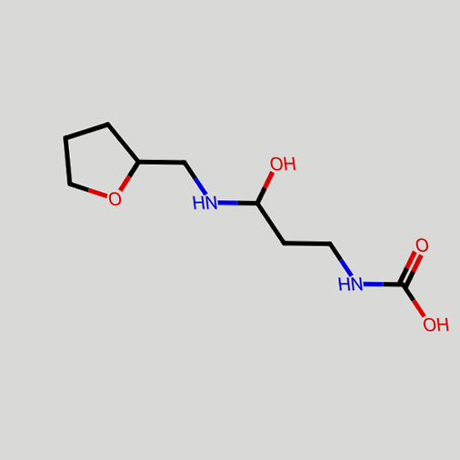 O=C(O)NCCC(O)NCC1CCCO1